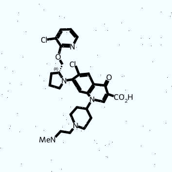 CNCCN1CCC(n2cc(C(=O)O)c(=O)c3cc(Cl)c(N4CCC[C@@H]4COc4ncccc4Cl)cc32)CC1